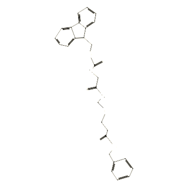 O=C(CNC(=O)OCC1c2ccccc2-c2ccccc21)NCOCCC(=O)OCc1ccccc1